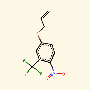 C=CCSc1ccc([N+](=O)[O-])c(C(F)(F)F)c1